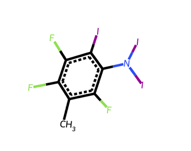 Cc1c(F)c(F)c(I)c(N(I)I)c1F